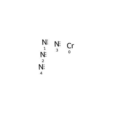 [Cr].[N].[N].[N].[N]